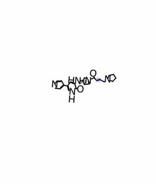 O=C(/C=C/CN1CCCC1)N1CC[C@@H](Nc2cc(-c3ccncc3)c[nH]c2=O)C1